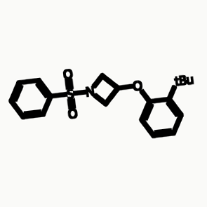 CC(C)(C)c1ccccc1OC1CN(S(=O)(=O)c2ccccc2)C1